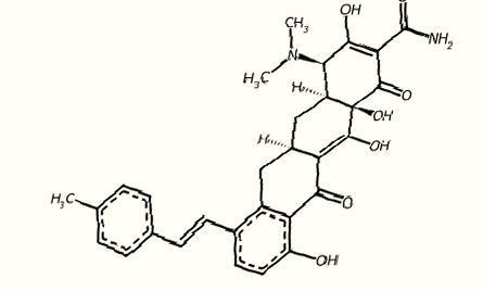 Cc1ccc(/C=C/c2ccc(O)c3c2C[C@H]2C[C@H]4[C@@H](N(C)C)C(O)=C(C(N)=O)C(=O)[C@]4(O)C(O)=C2C3=O)cc1